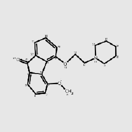 COc1cccc2c1-c1c(OCCN3CCCCC3)cccc1C2=O